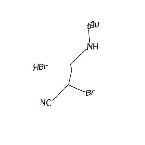 Br.CC(C)(C)NCC(Br)C#N